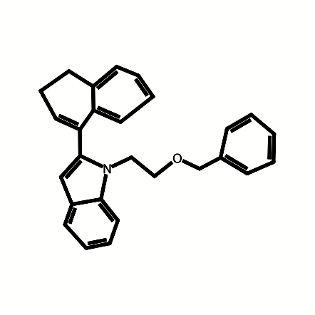 C1=C(c2cc3ccccc3n2CCOCc2ccccc2)c2ccccc2CC1